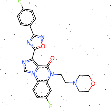 O=c1c2c(-c3nc(-c4ccc(F)cc4)no3)ncn2c2ccc(F)cc2n1CCN1CCOCC1